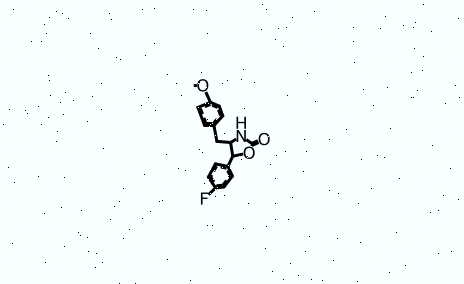 COc1ccc(CC2NC(=O)OC2c2ccc(F)cc2)cc1